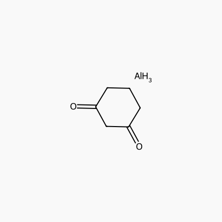 O=C1CCCC(=O)C1.[AlH3]